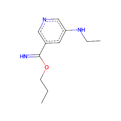 CCCOC(=N)c1cncc(NCC)c1